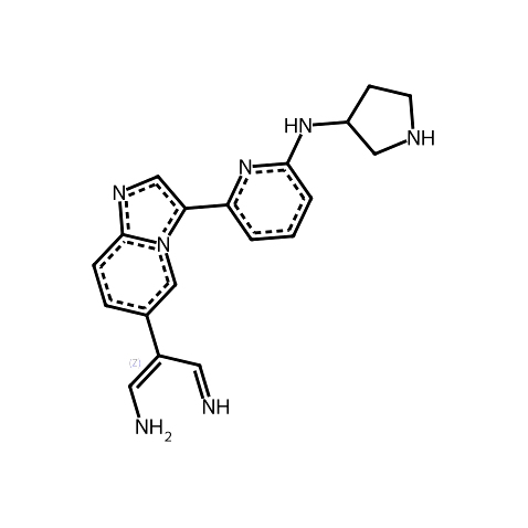 N=C/C(=C\N)c1ccc2ncc(-c3cccc(NC4CCNC4)n3)n2c1